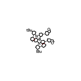 Cc1cc2c3c(c1)N(c1ccc(C(C)(C)C)cc1-c1ccccc1)c1ccc(-c4ccc5ccoc5c4)cc1B3c1cc(-c3ccc4ccoc4c3)ccc1N2c1ccc(C(C)(C)C)cc1-c1ccccc1